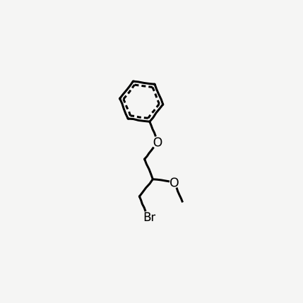 COC(CBr)COc1ccccc1